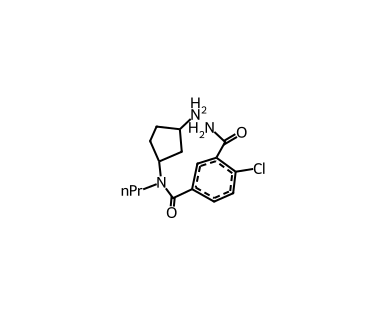 CCCN(C(=O)c1ccc(Cl)c(C(N)=O)c1)C1CCC(N)C1